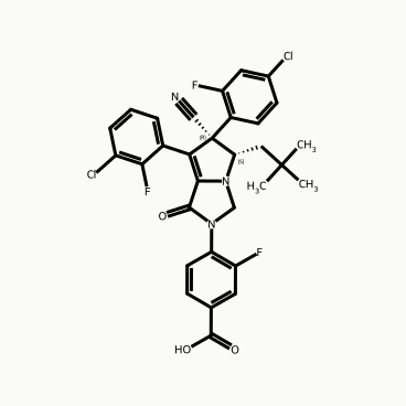 CC(C)(C)C[C@@H]1N2CN(c3ccc(C(=O)O)cc3F)C(=O)C2=C(c2cccc(Cl)c2F)[C@@]1(C#N)c1ccc(Cl)cc1F